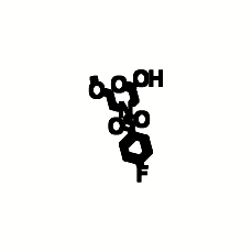 COCCN(CC(=O)O)S(=O)(=O)c1ccc(F)cc1